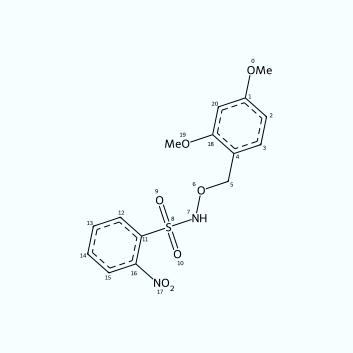 COc1ccc(CONS(=O)(=O)c2ccccc2[N+](=O)[O-])c(OC)c1